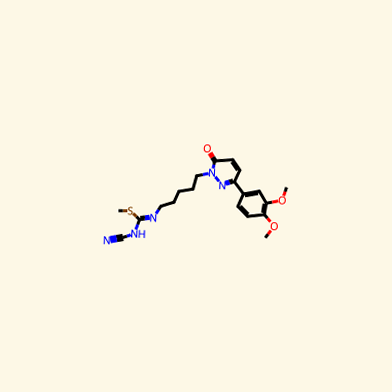 COc1ccc(-c2ccc(=O)n(CCCCCN=C(NC#N)SC)n2)cc1OC